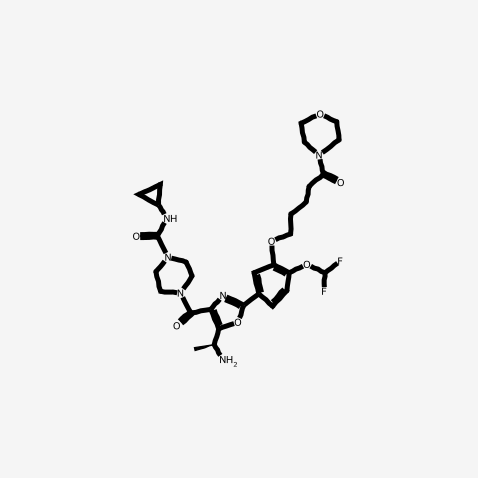 C[C@H](N)c1oc(-c2ccc(OC(F)F)c(OCCCCC(=O)N3CCOCC3)c2)nc1C(=O)N1CCN(C(=O)NC2CC2)CC1